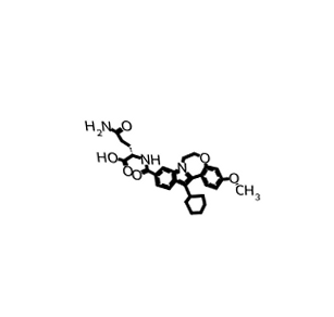 COc1ccc2c(c1)OCCn1c-2c(C2CCCCC2)c2ccc(C(=O)N[C@@H](CCC(N)=O)C(=O)O)cc21